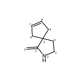 C=C1NCCC12CC=CC2